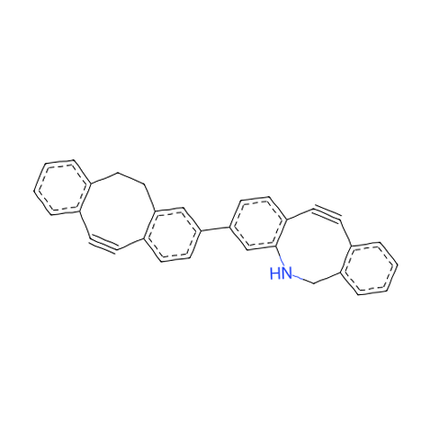 C1#Cc2ccc(-c3ccc4c(c3)NCc3ccccc3C#C4)cc2CCc2ccccc21